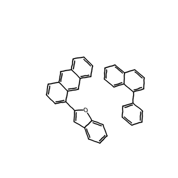 c1ccc(-c2cccc3ccccc23)cc1.c1ccc2cc3c(-c4cc5ccccc5o4)cccc3cc2c1